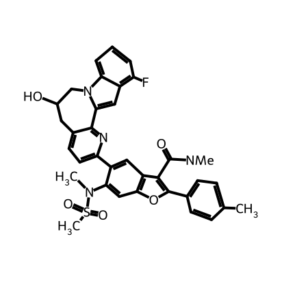 CNC(=O)c1c(-c2ccc(C)cc2)oc2cc(N(C)S(C)(=O)=O)c(-c3ccc4c(n3)-c3cc5c(F)cccc5n3CC(O)C4)cc12